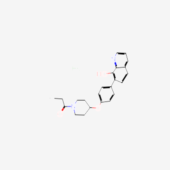 CCC(=O)N1CCC(Oc2ccc(-c3ccc4cccnc4c3O)cc2)CC1.Cl